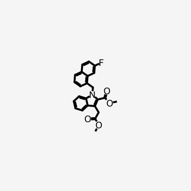 COC(=O)Cc1c(C(=O)OC)n(Cc2cccc3ccc(F)cc23)c2ccccc12